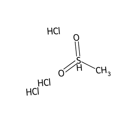 C[SH](=O)=O.Cl.Cl.Cl